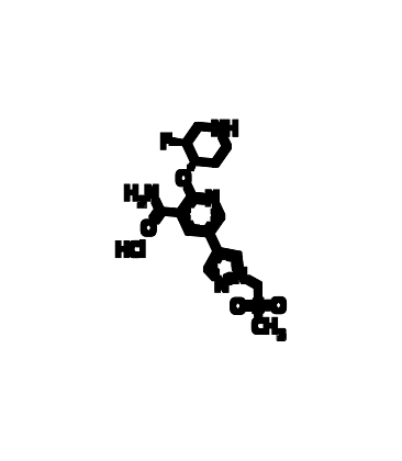 CS(=O)(=O)Cn1cc(-c2cnc(O[C@H]3CCNC[C@@H]3F)c(C(N)=O)c2)cn1.Cl